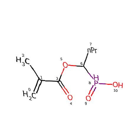 C=C(C)C(=O)OC(CCC)[PH](=O)O